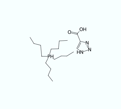 CCCC[PH](CCCC)(CCCC)CCCC.O=C(O)c1c[nH]nn1